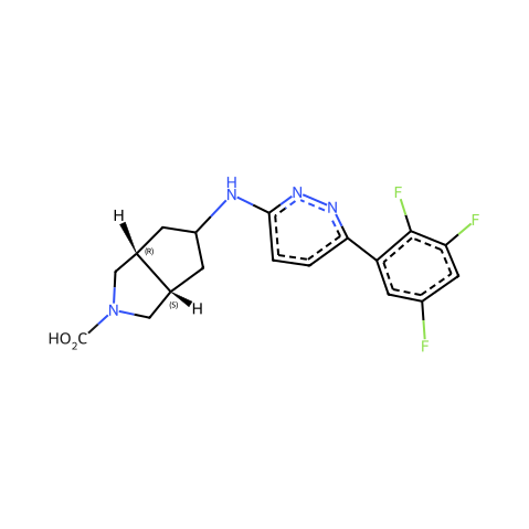 O=C(O)N1C[C@H]2CC(Nc3ccc(-c4cc(F)cc(F)c4F)nn3)C[C@H]2C1